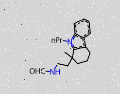 CCCn1c2c(c3ccccc31)CCCC2(C)CCNC=O